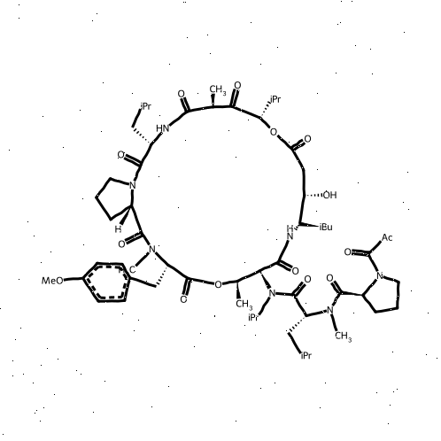 CC[C@H](C)[C@@H]1NC(=O)[C@@H](N(C(=O)[C@@H](CC(C)C)N(C)C(=O)[C@@H]2CCCN2C(=O)C(C)=O)C(C)C)[C@@H](C)OC(=O)[C@H](Cc2ccc(OC)cc2)N(C)C(=O)[C@@H]2CCCN2C(=O)[C@H](CC(C)C)NC(=O)[C@@H](C)C(=O)[C@H](C(C)C)OC(=O)C[C@@H]1O